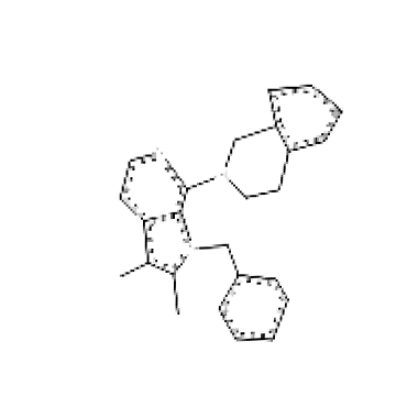 Cc1c(C)n(Cc2ccccc2)c2c(N3CCc4ccccc4C3)nccc12.Cl